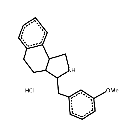 COc1cccc(CC2NCC3c4ccccc4CCC23)c1.Cl